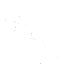 CCN(CC)OOO[Si](C)(C)C